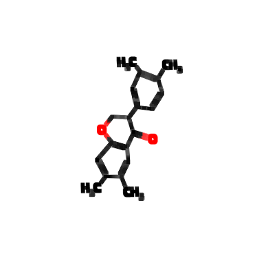 Cc1ccc(C2COc3cc(C)c(C)cc3C2=O)cc1C